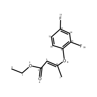 CCOC(=O)C=C(C)Oc1ccc(F)cc1F